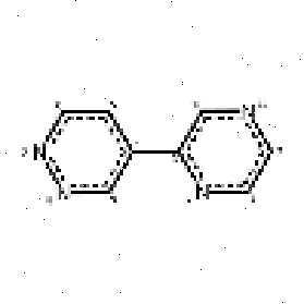 c1cnc(-c2ccnnc2)cn1